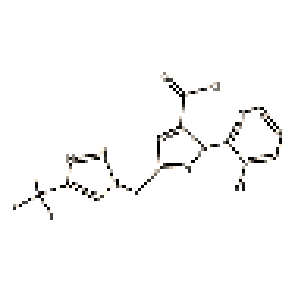 O=C(Cl)c1cc(Cn2cc(C(F)(F)F)nn2)nn1-c1ncccc1Cl